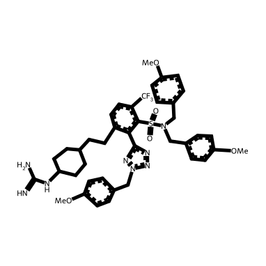 COc1ccc(CN(Cc2ccc(OC)cc2)S(=O)(=O)c2c(C(F)(F)F)ccc(CCC3CCC(NC(=N)N)CC3)c2-c2nnn(Cc3ccc(OC)cc3)n2)cc1